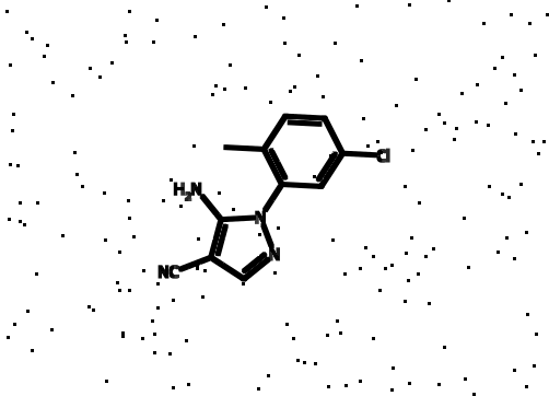 Cc1ccc(Cl)cc1-n1ncc(C#N)c1N